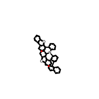 c1cc(-c2cccc3ccccc23)cc(N(c2ccccc2-c2cccc3c2oc2ccccc23)c2cccc3oc4ccccc4c23)c1